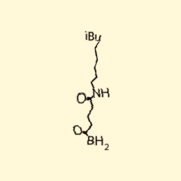 BC(=O)CCCC(=O)NCCCCCCC(C)CC